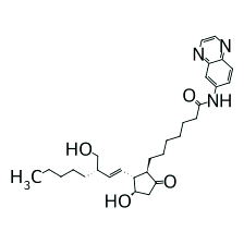 CCCCC[C@@H](/C=C/[C@H]1[C@H](O)CC(=O)[C@@H]1CCCCCCC(=O)Nc1ccc2nccnc2c1)CO